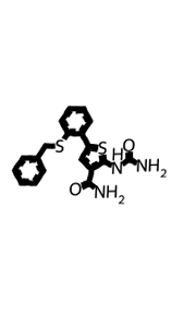 NC(=O)Nc1sc(-c2ccccc2SCc2ccccc2)cc1C(N)=O